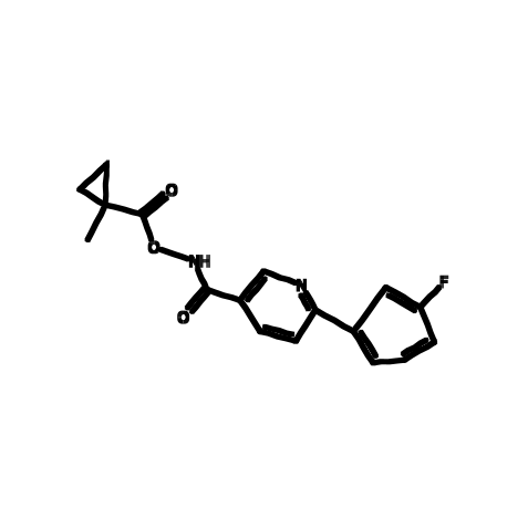 CC1(C(=O)ONC(=O)c2ccc(-c3cccc(F)c3)nc2)CC1